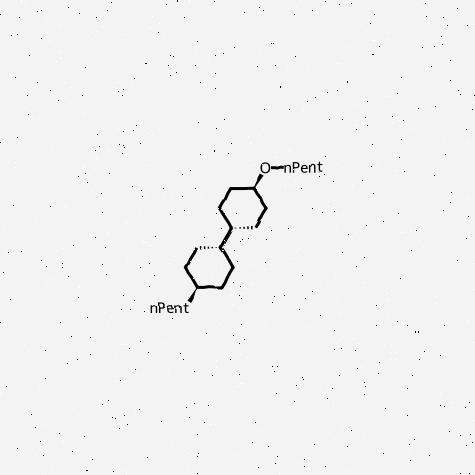 CCCCCO[C@H]1CC[C@H]([C@H]2CC[C@H](CCCCC)CC2)CC1